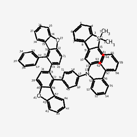 C[Si]1(C)c2ccccc2-c2cc(N(c3ccc(-c4c(-c5ccc6oc7ccccc7c6c5-c5ccccc5)ccc5oc6ccccc6c45)cc3)c3ccccc3-c3ccccc3)ccc21